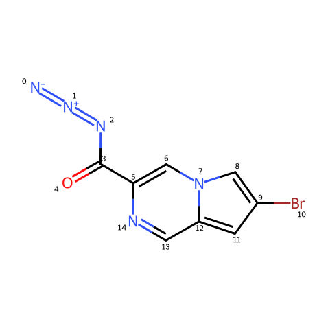 [N-]=[N+]=NC(=O)c1cn2cc(Br)cc2cn1